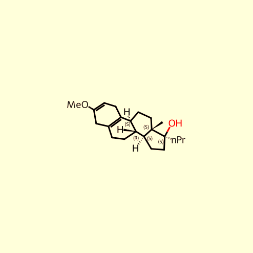 CCC[C@]1(O)CC[C@H]2[C@@H]3CCC4=C(CC=C(OC)C4)[C@H]3CC[C@@]21C